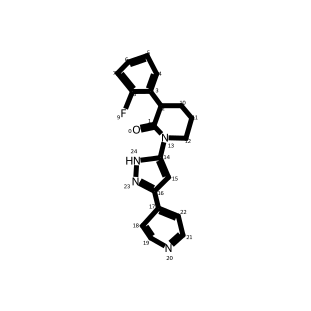 O=C1C(c2ccccc2F)CCCN1c1cc(-c2ccncc2)n[nH]1